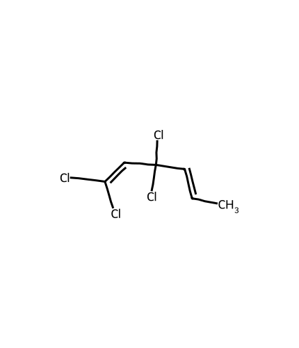 CC=CC(Cl)(Cl)C=C(Cl)Cl